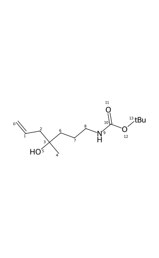 C=CCC(C)(O)CCCNC(=O)OC(C)(C)C